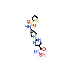 O=C(NO)c1cnc(N2CC3C(C2)C3NS(=O)(=O)C2CC=CS2)nc1